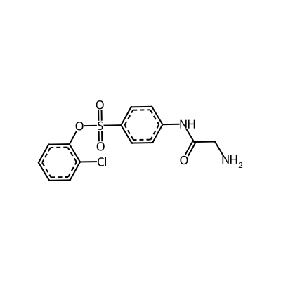 NCC(=O)Nc1ccc(S(=O)(=O)Oc2ccccc2Cl)cc1